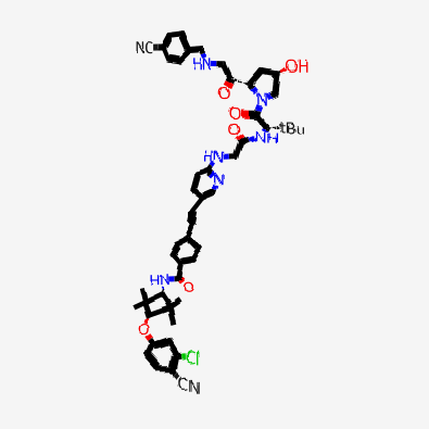 CC(C)(C)[C@H](NC(=O)CNc1ccc(C#Cc2ccc(C(=O)N[C@H]3C(C)(C)[C@H](Oc4ccc(C#N)c(Cl)c4)C3(C)C)cc2)cn1)C(=O)N1C[C@H](O)C[C@H]1C(=O)CNCc1ccc(C#N)cc1